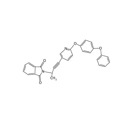 CC(C#Cc1ccc(Oc2ccc(Oc3ccccc3)cc2)nc1)N1C(=O)c2ccccc2C1=O